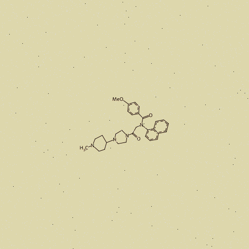 COc1ccc(C(=O)N(CC(=O)N2CCN(C3CCN(C)CC3)CC2)c2cccc3ccccc23)cc1